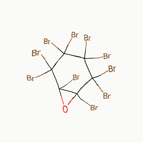 BrC1(Br)C(Br)(Br)C(Br)(Br)C2(Br)OC2(Br)C1(Br)Br